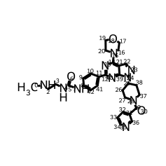 CNCCNC(=O)Nc1ccc(-c2nc(N3CCOCC3)c3cnn(C4CCN(C(=O)c5cccnc5)CC4)c3n2)cc1